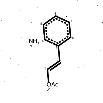 CC(=O)OC=Cc1ccccc1.N